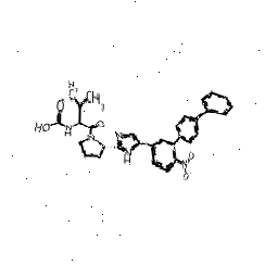 CC(C)[C@H](NC(=O)O)C(=O)N1CCC[C@H]1c1ncc(-c2ccc([N+](=O)[O-])c(-c3ccc(-c4ccccc4)cc3)c2)[nH]1